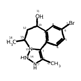 CC1=C2c3ccc(Br)cc3C(O)CC(C)N2NN1